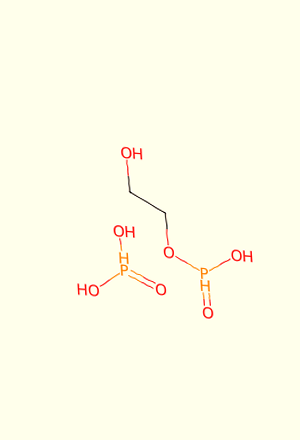 O=[PH](O)O.O=[PH](O)OCCO